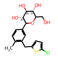 Cc1ccc(C2OC(CO)[C@@H](O)[C@H](O)[C@H]2O)cc1Cc1ccc(Cl)s1